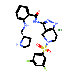 Cl.O=C(Nc1n[nH]c2c1CN(S(=O)(=O)c1cc(F)cc(F)c1)CC2)c1ccccc1NC[C@@H]1CCCN1